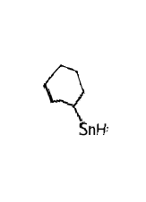 [SnH][CH]1CCCCC1